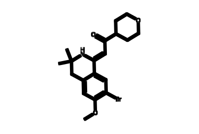 COc1cc2c(cc1Br)C(=CC(=O)C1CCOCC1)NC(C)(C)C2